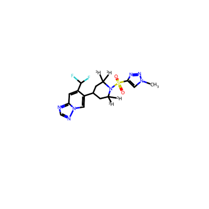 [2H]C1([2H])CC(c2cn3ncnc3cc2C(F)F)CC([2H])([2H])N1S(=O)(=O)c1cn(C)nn1